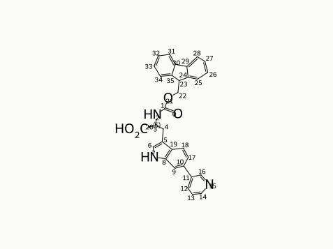 O=C(N[C@@H](Cc1c[nH]c2cc(-c3cccnc3)ccc12)C(=O)O)OCC1c2ccccc2-c2ccccc21